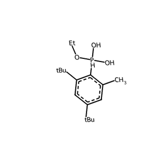 CCO[PH](O)(O)c1c(C)cc(C(C)(C)C)cc1C(C)(C)C